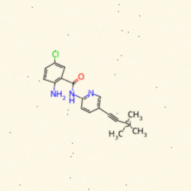 C[Si](C)(C)C#Cc1ccc(NC(=O)c2cc(Cl)ccc2N)nc1